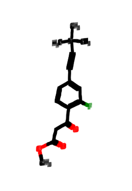 COC(=O)CC(=O)c1ccc(C#C[Si](C)(C)C)cc1F